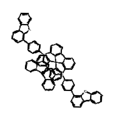 c1ccc2c(c1)-c1ccccc1C21c2c(cccc2N(c2ccc(-c3cccc4c3oc3ccccc34)cc2)c2cccc3ccccc23)-c2cccc(N(c3ccc(-c4cccc5c4oc4ccccc45)cc3)c3cccc4ccccc34)c21